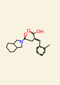 Cc1ccccc1/C=C(\CC(=O)N1CC2CCCCC2C1)C(=O)O